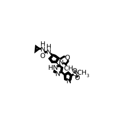 CC1COCCN1[C@]1(c2ccc(NC(=O)NC3CC3)cc2)C=C(c2cncc(S(C)(=O)=O)c2)N=CN1